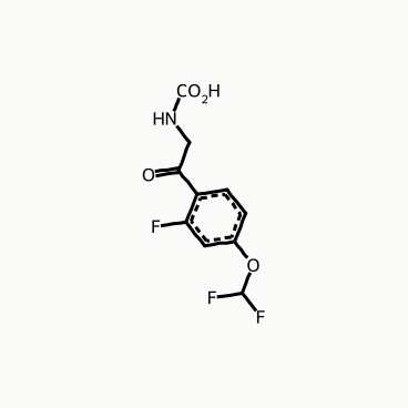 O=C(O)NCC(=O)c1ccc(OC(F)F)cc1F